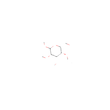 COC1O[C@H](CO)[C@@H](OC)[C@H](OC)[C@H]1OC